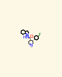 CN1CC[C@@H](C(=O)Nn2ccc3ccccc32)[C@H](c2ccc(F)cc2)C1